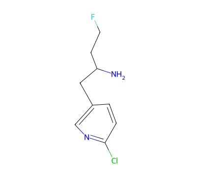 NC(CCF)Cc1ccc(Cl)nc1